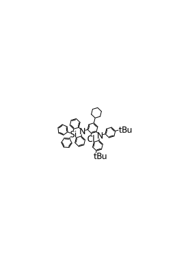 CC(C)(C)c1ccc(N(c2ccc(C(C)(C)C)cc2)c2cc(C3CCCCC3)cc(N3c4ccccc4[Si](c4ccccc4)(c4ccccc4)c4ccccc43)c2Cl)cc1